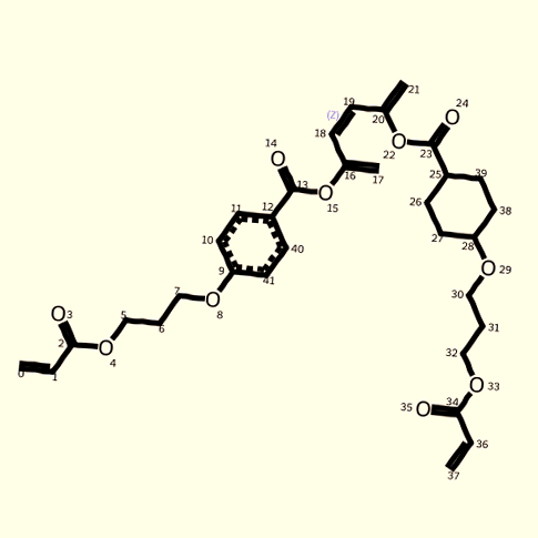 C=CC(=O)OCCCOc1ccc(C(=O)OC(=C)/C=C\C(=C)OC(=O)C2CCC(OCCCOC(=O)C=C)CC2)cc1